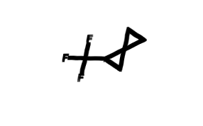 FC(F)(F)[C]1CC12CC2